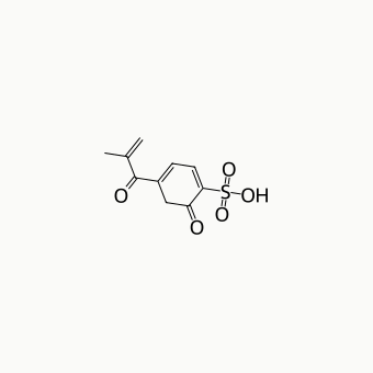 C=C(C)C(=O)C1=CC=C(S(=O)(=O)O)C(=O)C1